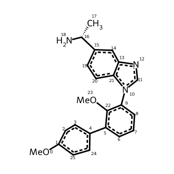 COc1ccc(-c2cccc(-n3cnc4cc([C@@H](C)N)ccc43)c2OC)cc1